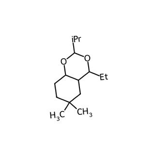 CCC1OC(C(C)C)OC2CCC(C)(C)CC12